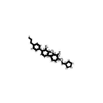 CCCc1ccc(-c2ccc3c(oc4c(F)c(OCC5CCCC5)ccc43)c2F)cc1